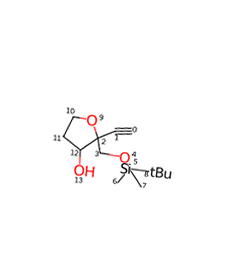 C#CC1(CO[Si](C)(C)C(C)(C)C)OCCC1O